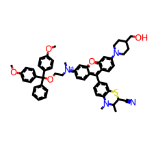 COc1ccc(C(OCC/[N+](C)=c2\ccc3c(-c4ccc5c(c4)SC(C#N)C(C)N5C)c4ccc(N5CCC(CO)CC5)cc4oc-3c2)(c2ccccc2)c2ccc(OC)cc2)cc1